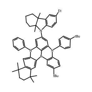 CCc1ccc2c(c1)C1(C)CCCCC1(C)N2c1cc2c3c(c1)N(c1ccccc1)c1cc4c(cc1B3c1cc(C(C)(C)C)ccc1N2c1ccc(C(C)(C)C)cc1)C(C)(C)CCC4(C)C